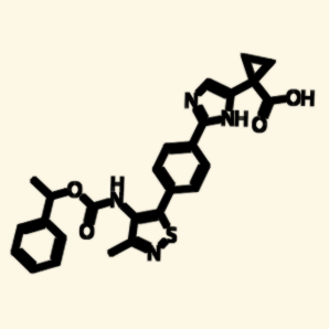 Cc1nsc(-c2ccc(-c3ncc(C4(C(=O)O)CC4)[nH]3)cc2)c1NC(=O)OC(C)c1ccccc1